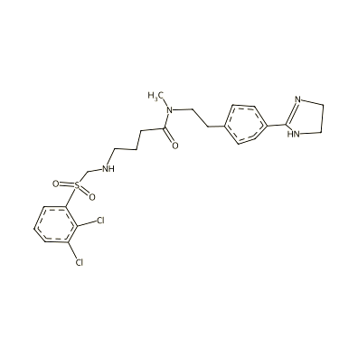 CN(CCc1ccc(C2=NCCN2)cc1)C(=O)CCCNCS(=O)(=O)c1cccc(Cl)c1Cl